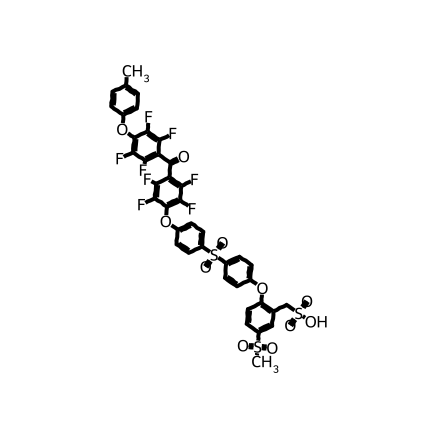 Cc1ccc(Oc2c(F)c(F)c(C(=O)c3c(F)c(F)c(Oc4ccc(S(=O)(=O)c5ccc(Oc6ccc(S(C)(=O)=O)cc6CS(=O)(=O)O)cc5)cc4)c(F)c3F)c(F)c2F)cc1